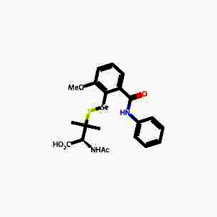 COc1cccc(C(=O)Nc2ccccc2)c1[Se]SC(C)(C)[C@@H](NC(C)=O)C(=O)O